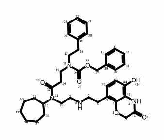 O=C1COc2c(CCNCCN(C(=O)CCN(CCc3ccccc3)C(=O)OCc3ccccc3)C3CCCCCC3)ccc(O)c2N1